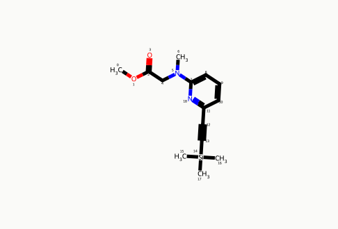 COC(=O)CN(C)c1cccc(C#C[Si](C)(C)C)n1